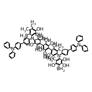 Bc1c(O)c(C)c(N(C2=CC=C(c3ccc(N(c4ccccc4)c4ccccc4)cc3)CC2)c2c(C)c(O)c(-c3c(O)c(O)c(-c4c(B)c(B)c(N(c5ccc(-c6ccc(N(c7ccccc7)c7ccccc7)cc6)cc5)c5c(B)c(C)c(C)c(O)c5O)c(O)c4B)c(O)c3O)c(O)c2C)c(O)c1O